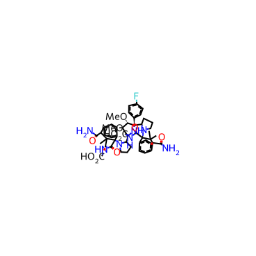 CO[C@@H]1[C@H](C2CCCN2[C@]2(C(=O)NC(=O)O)c3ccc(cc3)C(C(N)=O)C2(C)C)N[C@@](c2ccc(F)cc2)(C2CCCN2[C@]2(C(=O)NC(=O)O)c3ccc(cc3)C(C(N)=O)C2(C)C)[C@H]1OC